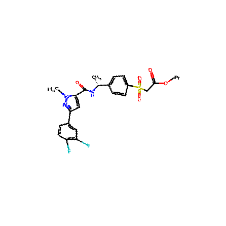 CC(C)OC(=O)CS(=O)(=O)c1ccc([C@@H](C)NC(=O)c2cc(-c3ccc(F)c(F)c3)nn2C)cc1